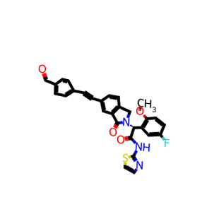 COc1ccc(F)cc1[C@H](C(=O)Nc1nccs1)N1Cc2ccc(C#Cc3ccc(C=O)cc3)cc2C1=O